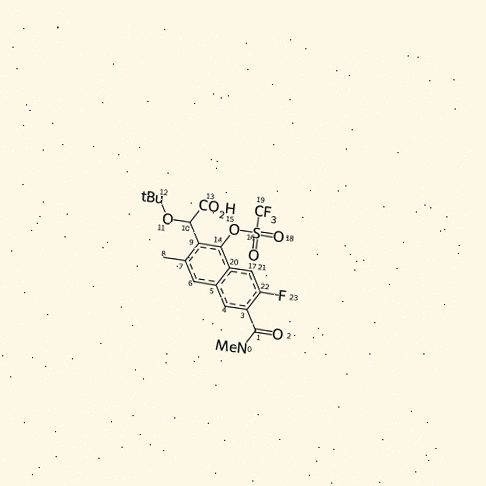 CNC(=O)c1cc2cc(C)c(C(OC(C)(C)C)C(=O)O)c(OS(=O)(=O)C(F)(F)F)c2cc1F